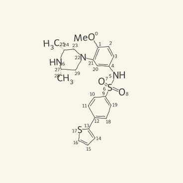 COc1ccc(NS(=O)(=O)c2ccc(-c3cccs3)cc2)cc1N1C[C@@H](C)N[C@@H](C)C1